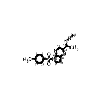 Cc1ccc(S(=O)(=O)n2ccc3nc(C(C)N=[N+]=[N-])cnc32)cc1